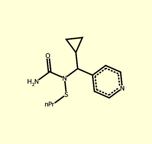 CCCSN(C(N)=O)C(c1ccncc1)C1CC1